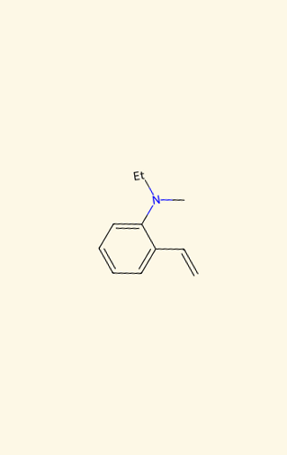 C=Cc1ccccc1N(C)CC